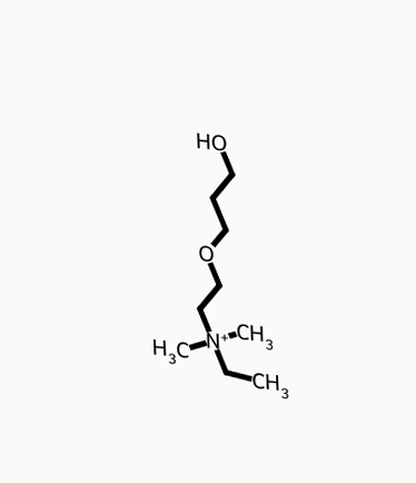 CC[N+](C)(C)CCOCCCO